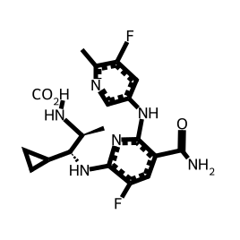 Cc1ncc(Nc2nc(N[C@H](C3CC3)[C@H](C)NC(=O)O)c(F)cc2C(N)=O)cc1F